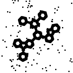 c1ccc(-c2nc(-c3ccccc3)nc(-c3cc(-c4ccc5c(c4)c4ccccc4n5-c4ccccn4)cc(-c4cccc5c4sc4ccccc45)c3)n2)cc1